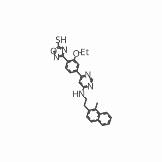 CCOc1cc(-c2cc(NCCc3ccc4ccccc4c3C)ncn2)ccc1-c1noc(S)n1